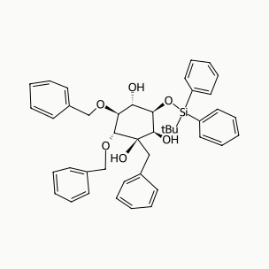 CC(C)(C)[Si](O[C@@H]1[C@@H](O)[C@H](OCc2ccccc2)[C@@H](OCc2ccccc2)[C@@](O)(Cc2ccccc2)[C@@H]1O)(c1ccccc1)c1ccccc1